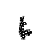 COc1nc(-c2nc3n(n2)CCN(c2ccccc2)[C@@H]3c2ccc(C(F)(F)F)cc2)ccc1-n1cnc(C)c1